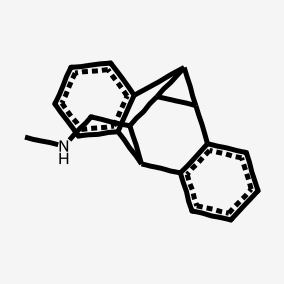 CNCC1C2c3ccccc3C3C(c4ccccc42)C13